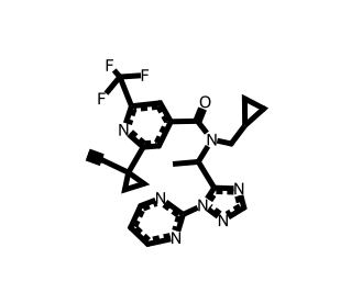 C#CC1(c2cc(C(=O)N(CC3CC3)C(C)c3ncnn3-c3ncccn3)cc(C(F)(F)F)n2)CC1